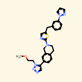 COCCn1nncc1-c1ccc2c(c1)CN(c1ncc(Cc3cccc(-n4cccn4)c3)s1)CC2